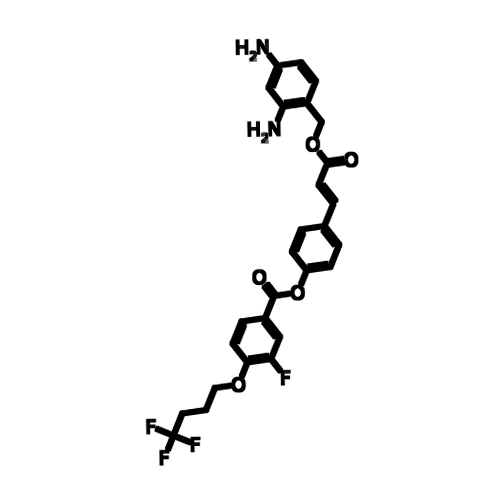 Nc1ccc(COC(=O)C=Cc2ccc(OC(=O)c3ccc(OCCCC(F)(F)F)c(F)c3)cc2)c(N)c1